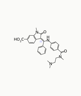 CN(C)CCN(C)C(=O)c1ccc(N/C(=C2\C(=O)N(C)c3cc(C(=O)O)ccc32)c2ccccc2)cc1